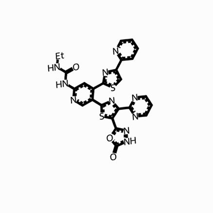 CCNC(=O)Nc1cc(-c2nc(-c3ccccn3)cs2)c(-c2nc(-c3ncccn3)c(-c3n[nH]c(=O)o3)s2)cn1